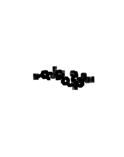 Cc1cc(C#N)ccc1COc1nc(C2=CCC(Cc3nc4ccc(C(=O)O)nc4n3CC3CCO3)CC2)ncc1F